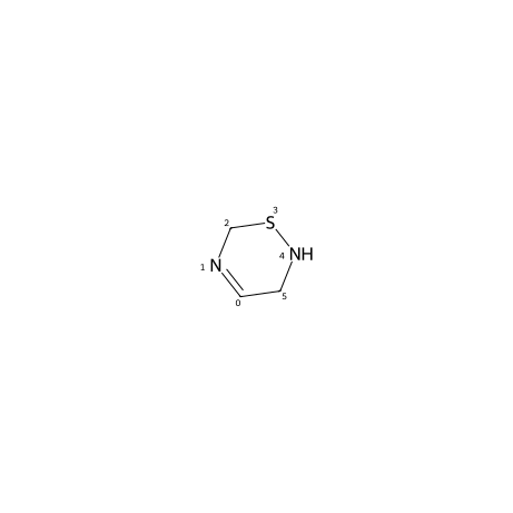 C1=NCSNC1